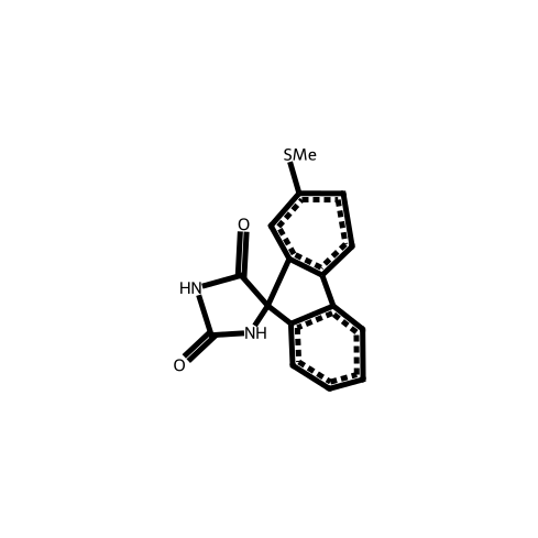 CSc1ccc2c(c1)C1(NC(=O)NC1=O)c1ccccc1-2